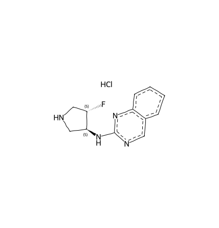 Cl.F[C@H]1CNC[C@@H]1Nc1ncc2ccccc2n1